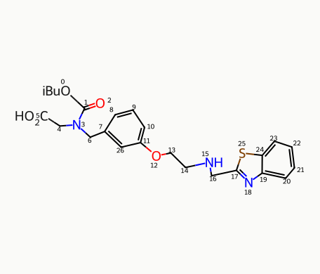 CC(C)COC(=O)N(CC(=O)O)Cc1cccc(OCCNCc2nc3ccccc3s2)c1